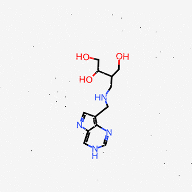 OCC(O)C(CO)CNCc1cnc2c[nH]cnc1-2